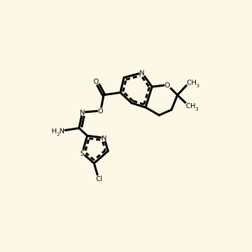 CC1(C)CCc2cc(C(=O)O/N=C(/N)c3ncc(Cl)s3)cnc2O1